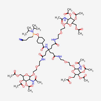 CC(=O)NC1C(OCCOCCNC(=O)CCC(CCC(=O)NCCOCCOC2OC(COC(C)=O)C(OC(C)=O)C(OC(C)=O)C2NC(C)=O)(CCC(=O)NCCOCCOC2OC(COC(C)=O)C(OC(C)=O)C(OC(C)=O)C2NC(C)=O)NC(=O)C2CCC(OP(CCCC#N)N(C(C)C)C(C)C)CC2)OC(COC(C)=O)C(OC(C)=O)C1OC(C)=O